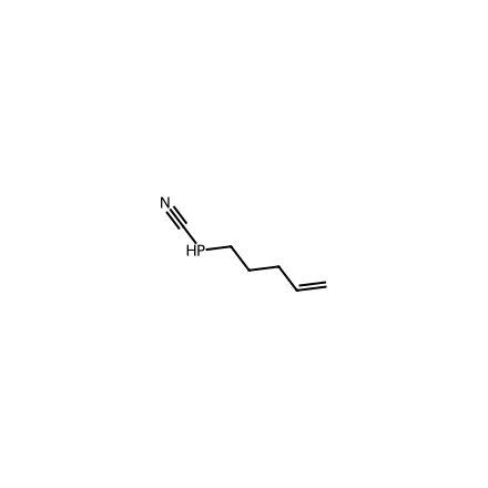 C=CCCCPC#N